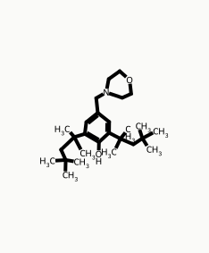 CC(C)(C)CC(C)(C)c1cc(CN2CCOCC2)cc(C(C)(C)CC(C)(C)C)c1O